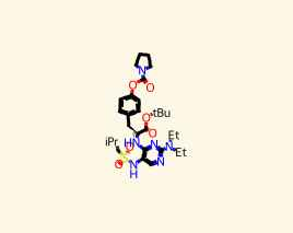 CCN(CC)c1ncc(NS(=O)(=O)CC(C)C)c(N[C@@H](Cc2ccc(OC(=O)N3CCCC3)cc2)C(=O)OC(C)(C)C)n1